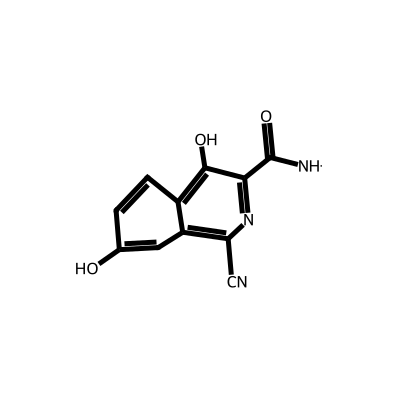 N#Cc1nc(C([NH])=O)c(O)c2ccc(O)cc12